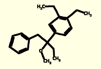 CCc1ccc(C(CC)(Cc2ccccc2)OC)cc1CC